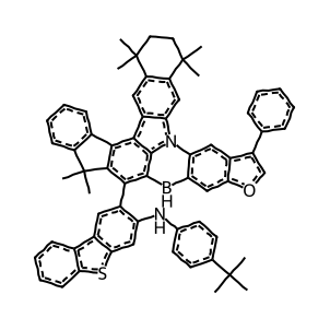 CC(C)(C)c1ccc(Nc2cc3sc4ccccc4c3cc2-c2c3c(c4c5cc6c(cc5n5c4c2Bc2cc4occ(-c7ccccc7)c4cc2-5)C(C)(C)CCC6(C)C)-c2ccccc2C3(C)C)cc1